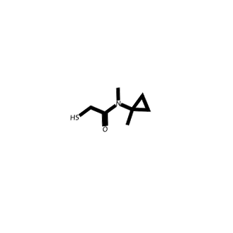 CN(C(=O)CS)C1(C)CC1